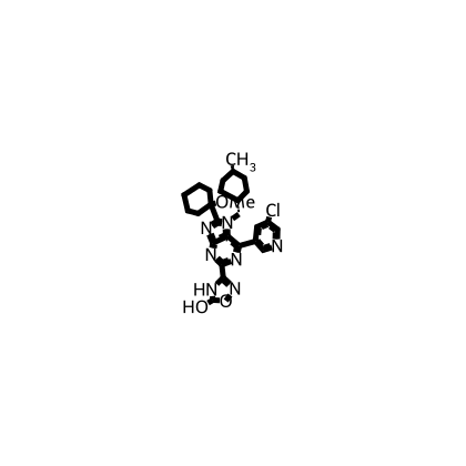 COC1(c2nc3nc(C4=NOC(O)N4)nc(-c4cncc(Cl)c4)c3n2C[C@H]2CC[C@H](C)CC2)CCCCC1